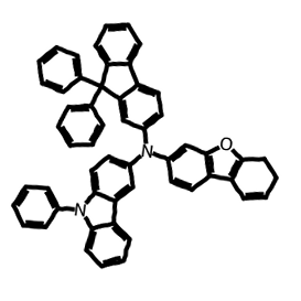 C1=Cc2c(oc3cc(N(c4ccc5c(c4)C(c4ccccc4)(c4ccccc4)c4ccccc4-5)c4ccc5c(c4)c4ccccc4n5-c4ccccc4)ccc23)CC1